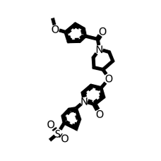 COc1ccc(C(=O)N2CCC(Oc3ccn(-c4ccc(S(C)(=O)=O)cc4)c(=O)c3)CC2)cc1